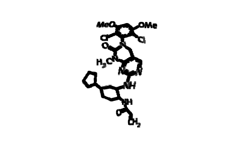 C=CC(=O)NC1CCC(C2CCCC2)CC1Nc1ncc2c(n1)N(C)C(=O)N(c1c(Cl)c(OC)cc(OC)c1Cl)C2